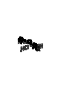 Cc1c(OC2CCCC(NCc3cccnc3)C2)ccc2[nH]ncc12.Cl